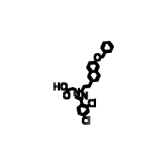 O=C(O)Cn1cc(-c2ccc(Cl)cc2Cl)nc1C=Cc1ccc2cc(OCc3ccccc3)ccc2c1